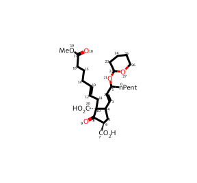 CCCCCC(C=CC1C[C@@H](C(=O)O)C(=O)[C@]1(CC=CCCCC(=O)OC)C(=O)O)OC1CCCCO1